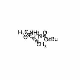 C[C@H]1[C@@H](C[S@@](C)(=N)=O)CN1C(=O)OC(C)(C)C